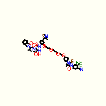 Cc1ncsc1-c1ccc(NC(=O)[C@@H]2C[C@@H](O)CN2C(=O)C(C(C)C)N2Cc3ccccc3C2=O)c(OCCCOCCCOCCOc2ccc(N3C(=S)N(c4ccc(C#N)c(C(F)(F)F)c4)C(=O)C3(C)C)cc2)c1